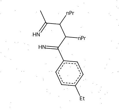 CCCC(C(C)=N)C(CCC)C(=N)c1ccc(CC)cc1